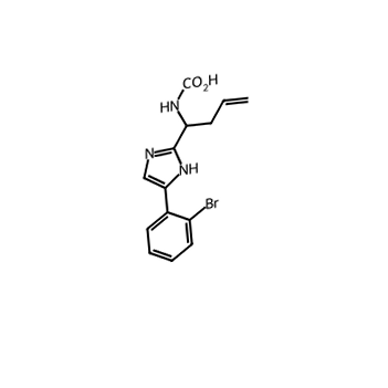 C=CCC(NC(=O)O)c1ncc(-c2ccccc2Br)[nH]1